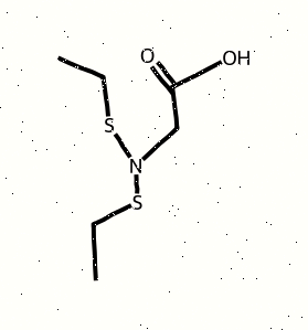 CCSN(CC(=O)O)SCC